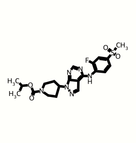 CC(C)OC(=O)N1CCC(n2ncc3c(Nc4ccc(S(C)(=O)=O)cc4F)ncnc32)CC1